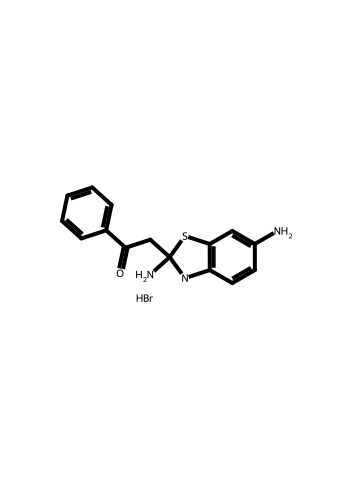 Br.Nc1ccc2c(c1)SC(N)(CC(=O)c1ccccc1)[N]2